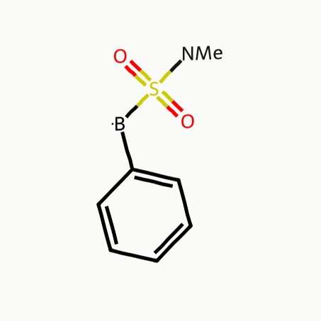 CNS(=O)(=O)[B]c1ccccc1